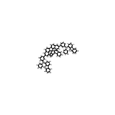 c1ccc(N(c2cccc(-c3ccc4c5c(ccc4c3)-c3ccc4cc(-c6cccc(N(c7ccccc7)c7cccc8c7oc7ccccc78)c6)ccc4c3C53c4ccccc4-c4c3ccc3ccccc43)c2)c2cccc3c2oc2ccccc23)cc1